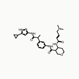 CC(C(=O)Nc1cc(C2CC2)[nH]n1)c1cccc(NC(=O)C2COCCC2NC(=O)C=CCN(C)C)c1